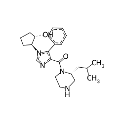 CC(C)C[C@@H]1CNCCN1C(=O)c1ncn([C@H]2CCC[C@@H]2O)c1-c1ccccc1